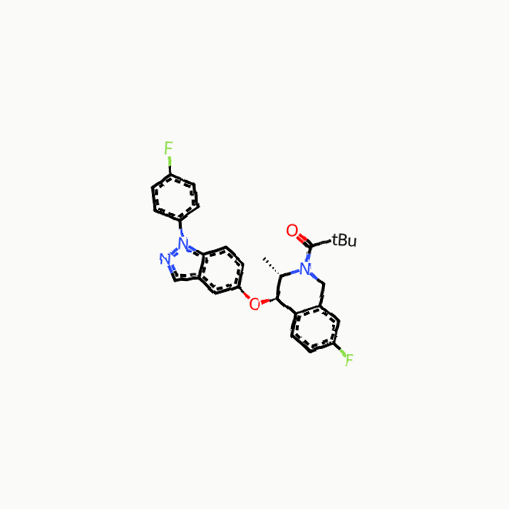 C[C@H]1[C@H](Oc2ccc3c(cnn3-c3ccc(F)cc3)c2)c2ccc(F)cc2CN1C(=O)C(C)(C)C